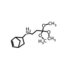 COC(CC[SiH2]C1CC2C=CC1C2)(OC)OC